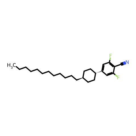 CCCCCCCCCCCC[C@H]1CC[C@H](c2cc(F)c(C#N)c(F)c2)CC1